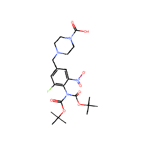 CC(C)(C)OC(=O)N(C(=O)OC(C)(C)C)c1c(F)cc(CN2CCN(C(=O)O)CC2)cc1[N+](=O)[O-]